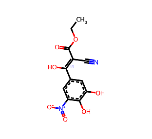 CCOC(=O)/C(C#N)=C(\O)c1cc(O)c(O)c([N+](=O)[O-])c1